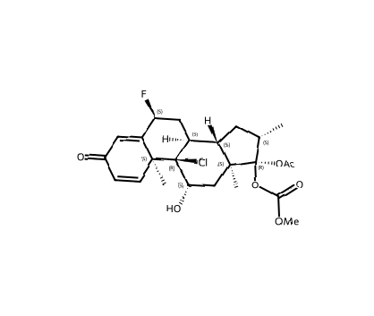 COC(=O)O[C@]1(OC(C)=O)[C@@H](C)C[C@H]2[C@@H]3C[C@H](F)C4=CC(=O)C=C[C@]4(C)[C@@]3(Cl)[C@@H](O)C[C@@]21C